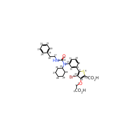 O=C(O)COc1c(C(=O)O)sc(-c2cccc(N(C(=O)NCCc3ccccc3)C3CCCCC3)c2)c1Br